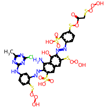 Cc1nc(Cl)nc(Nc2ccc(SOOO)c(N=Nc3c(S(=O)(=O)O)cc4cc(SOOO)c(N=Nc5ccc(SOC(=O)CSOOO)cc5S(=O)(=O)O)c(O)c4c3N)c2)n1